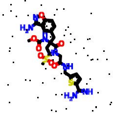 COC(=O)NC(CCS(C)(=O)=O)(Cc1ccc2onc(N)c2c1)C(=O)NCC(=O)NCc1ccc(C(=N)N)s1